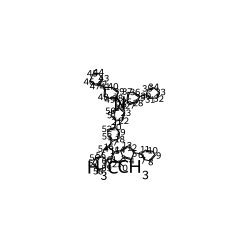 CC1(C)c2cc(-c3ccccc3)ccc2-c2c(-c3ccc(-c4ccc(N(c5ccc(-c6ccccc6)cc5)c5ccc(-c6ccccc6)cc5)cc4)cc3)cc3ccccc3c21